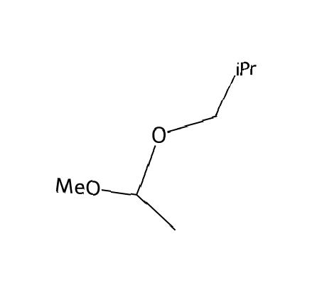 [CH2]C(C)COC(C)OC